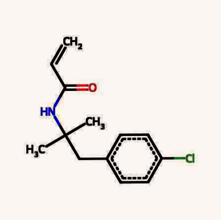 C=CC(=O)NC(C)(C)Cc1ccc(Cl)cc1